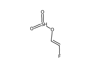 O=[SH](=O)OC=CF